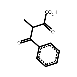 CC(C(=O)C(=O)O)C(=O)c1ccccc1